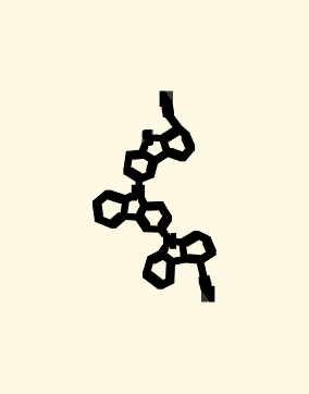 N#Cc1cccc2c1sc1ccc(-n3c4ccccc4c4cc(-n5c6ccccc6c6c(C#N)cccc65)ccc43)cc12